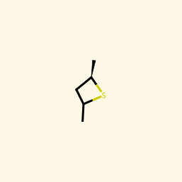 CC1C[C@@H](C)S1